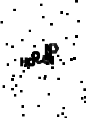 O=C(O)Cc1cnn(-c2ccccn2)c1